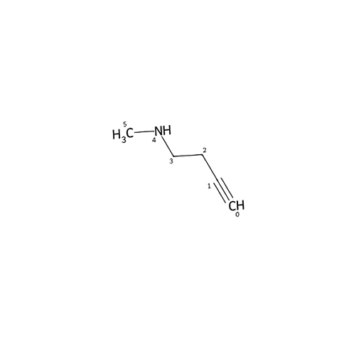 C#CCCNC